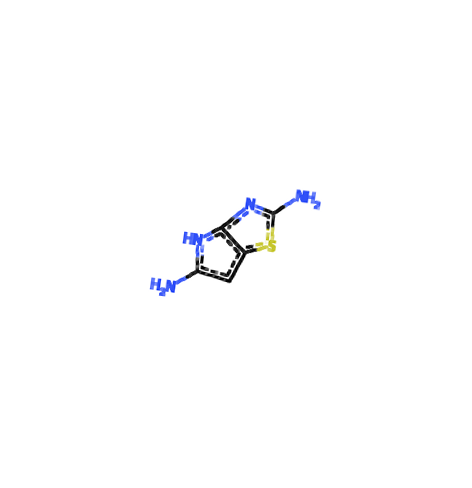 Nc1cc2sc(N)nc2[nH]1